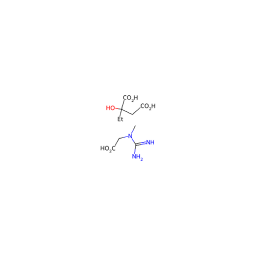 CCC(O)(CC(=O)O)C(=O)O.CN(CC(=O)O)C(=N)N